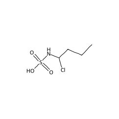 CCCC(Cl)NS(=O)(=O)O